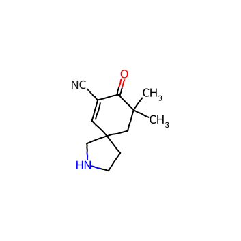 CC1(C)CC2(C=C(C#N)C1=O)CCNC2